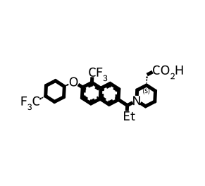 CCC(c1ccc2c(C(F)(F)F)c(O[C@H]3CC[C@@H](C(F)(F)F)CC3)ccc2c1)N1CCC[C@@H](CC(=O)O)C1